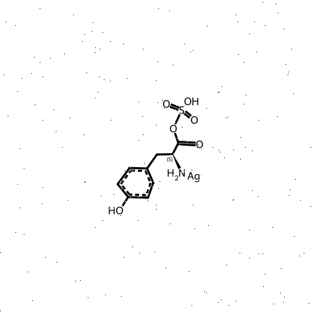 N[C@@H](Cc1ccc(O)cc1)C(=O)OS(=O)(=O)O.[Ag]